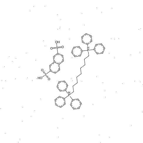 O=S(=O)(O)c1ccc2ccc(S(=O)(=O)O)cc2c1.c1ccc([PH](CCCCCCCCC[PH](c2ccccc2)(c2ccccc2)c2ccccc2)(c2ccccc2)c2ccccc2)cc1